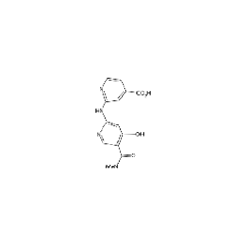 CNC(=O)c1cnc(Nc2cc(C(=O)O)ccn2)cc1O